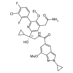 CCOc1c(CC(N)=O)cc([C@@](O)(CNC(=O)c2cc(OC)c3nn(C4CC4)cc3c2)C2CC2)nc1-c1ccc(F)c(Cl)c1F